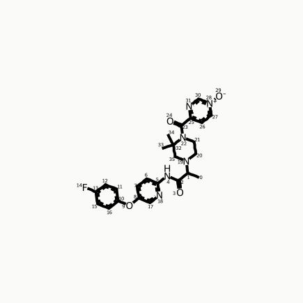 CC(C(=O)Nc1ccc(Oc2ccc(F)cc2)cn1)N1CCN(C(=O)c2cc[n+]([O-])cn2)C(C)(C)C1